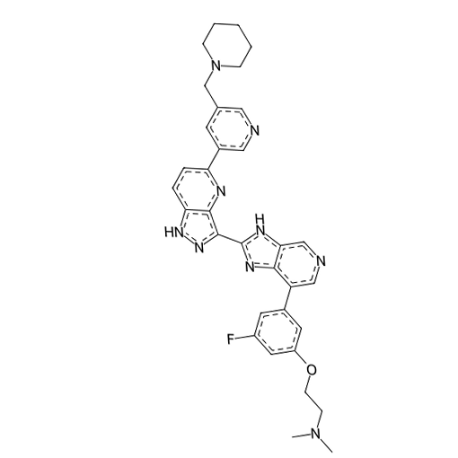 CN(C)CCOc1cc(F)cc(-c2cncc3[nH]c(-c4n[nH]c5ccc(-c6cncc(CN7CCCCC7)c6)nc45)nc23)c1